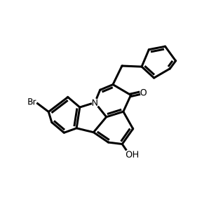 O=c1c(Cc2ccccc2)cn2c3cc(Br)ccc3c3cc(O)cc1c32